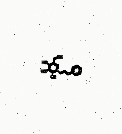 OC[C@H]1O[C@@H](CCCc2ccccc2)[C@H](O)[C@@H](O)[C@@H]1O